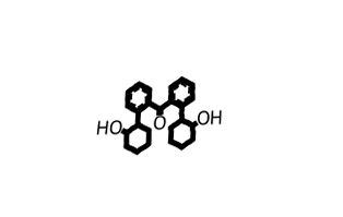 O=C(c1ccccc1C1CCCCC1O)c1ccccc1C1CCCCC1O